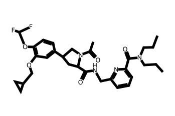 CCCN(CCC)C(=O)c1cccc(CNC(=O)C2CC(c3ccc(OC(F)F)c(OCC4CC4)c3)CN2C(C)=O)n1